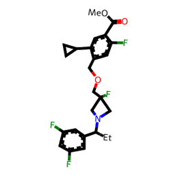 CCC(c1cc(F)cc(F)c1)N1CC(F)(COCc2cc(F)c(C(=O)OC)cc2C2CC2)C1